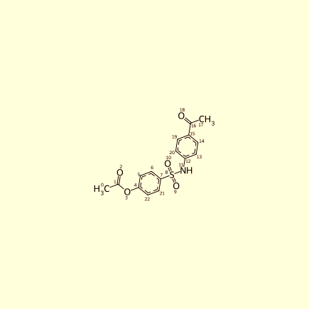 CC(=O)Oc1ccc(S(=O)(=O)Nc2ccc(C(C)=O)cc2)cc1